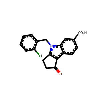 O=C(O)c1ccc2c3c(n(Cc4ccccc4Cl)c2c1)CCC3=O